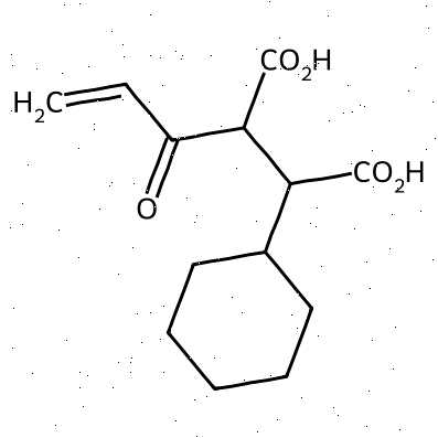 C=CC(=O)C(C(=O)O)C(C(=O)O)C1CCCCC1